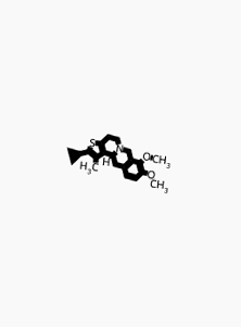 COc1ccc2c(c1OC)CN1CCc3sc(C4CC4)c(C)c3[C@@H]1C2